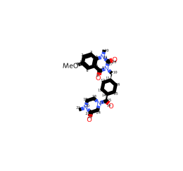 COc1ccc2c(c1)c(=O)n(C[C@H]1CC[C@H](C(=O)N3CCN(C)C(=O)C3)CC1)c(=O)n2C